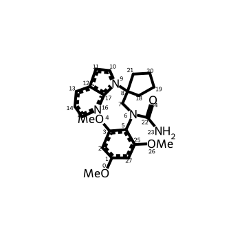 COc1cc(OC)c(N(CC2(n3ccc4cccnc43)CCCC2)C(N)=O)c(OC)c1